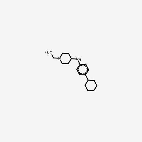 CCN1CCC(Nc2ccc(C3CCCCC3)cc2)CC1